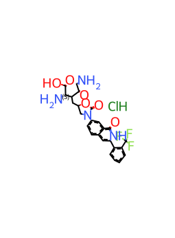 Cl.NCC(=O)C(CC1CN(c2ccc3cc(-c4ccccc4C(F)(F)F)[nH]c(=O)c3c2)C(=O)O1)[C@H](N)C(=O)O